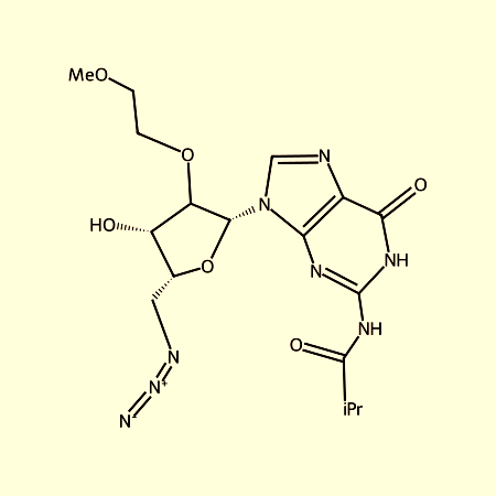 COCCOC1[C@@H](O)[C@@H](CN=[N+]=[N-])O[C@H]1n1cnc2c(=O)[nH]c(NC(=O)C(C)C)nc21